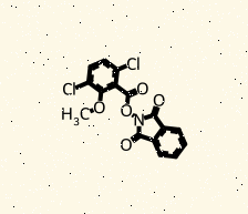 COc1c(Cl)ccc(Cl)c1C(=O)ON1C(=O)c2ccccc2C1=O